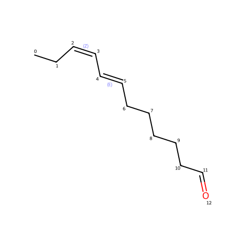 CC/C=C\C=C\CCCCCC=O